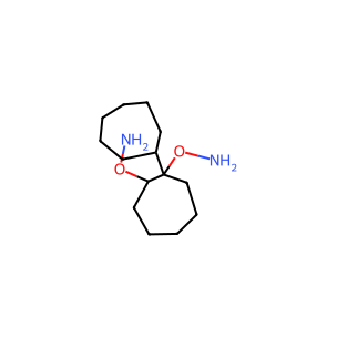 NOC1CCCCCC1(ON)C1CCCCCC1